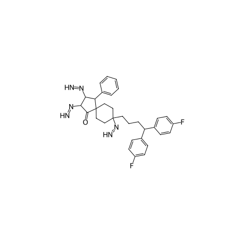 N=NC1C(=O)C2(CCC(CCCC(c3ccc(F)cc3)c3ccc(F)cc3)(N=N)CC2)C(c2ccccc2)C1N=N